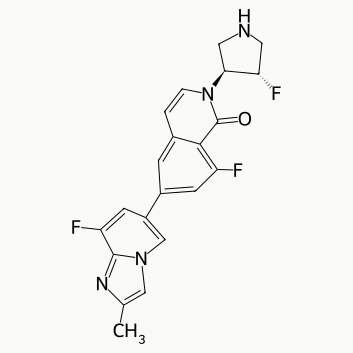 Cc1cn2cc(-c3cc(F)c4c(=O)n([C@H]5CNC[C@@H]5F)ccc4c3)cc(F)c2n1